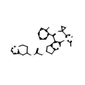 Cc1nnc2n1-c1sc3c(c1C(c1ccccc1Cl)=NC21CC1)C[C@H](CC(=O)NC1CCn2nccc2C1)C3